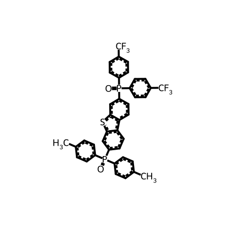 Cc1ccc(P(=O)(c2ccc(C)cc2)c2ccc3c(c2)sc2cc(P(=O)(c4ccc(C(F)(F)F)cc4)c4ccc(C(F)(F)F)cc4)ccc23)cc1